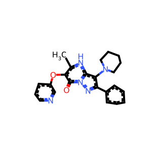 Cc1[nH]c2c(N3CCCCC3)c(-c3ccccc3)nn2c(=O)c1Oc1cccnc1